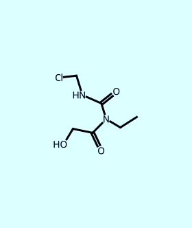 CCN(C(=O)CO)C(=O)NCCl